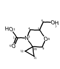 O=C(O)N1CC(CO)OCC12CC2